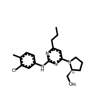 CCCc1cc(N2CCC[C@H]2CO)nc(Nc2ccc(C)c(Cl)c2)n1